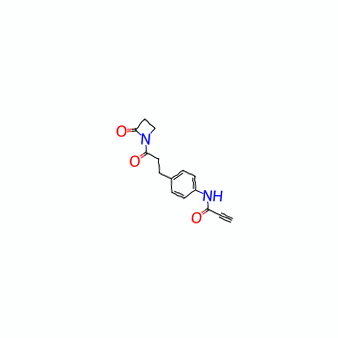 C#CC(=O)Nc1ccc(CCC(=O)N2CCC2=O)cc1